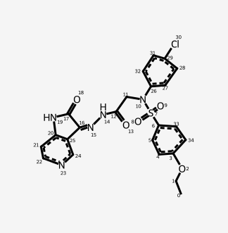 CCOc1ccc(S(=O)(=O)N(CC(=O)N/N=C2\C(=O)Nc3ccncc32)c2ccc(Cl)cc2)cc1